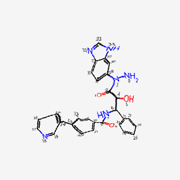 NN(C(=O)C(O)C(NC(=O)c1ccc(-c2cccnc2)cc1)c1ccccc1)c1ccc2nc[nH]c2c1